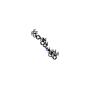 Cc1cccc(C)c1NC(=O)NS/N=C/c1cnc2c(ccc3c2ncn3-c2ccc(OC(F)(F)F)cc2)c1